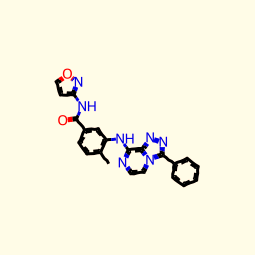 Cc1ccc(C(=O)Nc2ccon2)cc1Nc1nccn2c(-c3ccccc3)nnc12